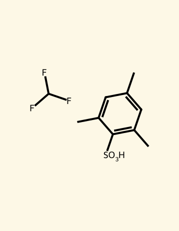 Cc1cc(C)c(S(=O)(=O)O)c(C)c1.FC(F)F